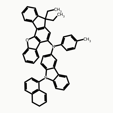 CCC1(CC)c2ccccc2-c2c1cc(N(c1ccc(C)cc1)c1ccc3c(c1)c1ccccc1n3-c1cccc3c1C=CCC3)c1c2oc2ccccc21